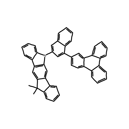 CC1(C)c2ccccc2-c2cc3c(cc21)c1ccccc1n3-c1cc(-c2ccc3c4ccccc4c4ccccc4c3c2)c2ccccc2c1